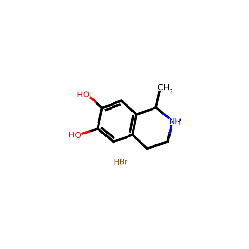 Br.CC1NCCc2cc(O)c(O)cc21